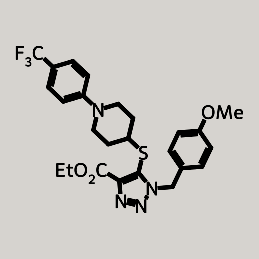 CCOC(=O)c1nnn(Cc2ccc(OC)cc2)c1SC1CCN(c2ccc(C(F)(F)F)cc2)CC1